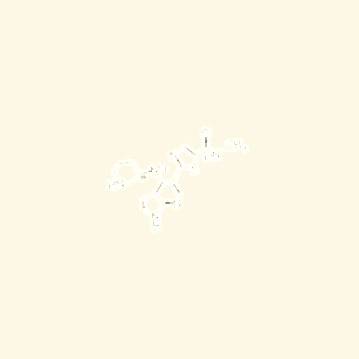 CNC(=O)c1cnc(-c2cnc3[nH]ccc3c2N[C@@H]2CCCNC2)s1